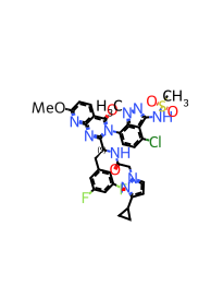 COc1ccc2c(=O)n(-c3ccc(Cl)c4c(NS(C)(=O)=O)nn(C)c34)c([C@H](Cc3cc(F)cc(F)c3)NC(=O)Cn3ccc(C4CC4)n3)nc2n1